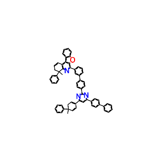 CC1(c2ccccc2)C=CC(c2cc(-c3ccc(-c4ccccc4)cc3)nc(-c3ccc(-c4cccc(-c5nc6c(c7c5oc5ccccc57)C=CCC6(C)c5ccccc5)c4)cc3)n2)=CC1